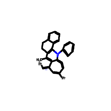 CC/C=C1/C=C(C(C)C)C=C=C2C1=C(C)C1=C(c3ccccc3CC1)N2c1ccccc1